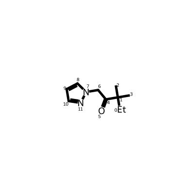 CCC(C)(C)C(=O)Cn1cccn1